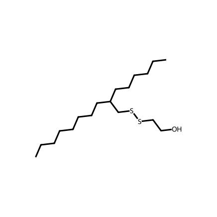 CCCCCCCCC(CCCCCC)CSSCCO